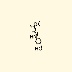 CC/C(=C\C(C)=N\N[C@H]1CC[C@H](CO)CC1)OC(C)C